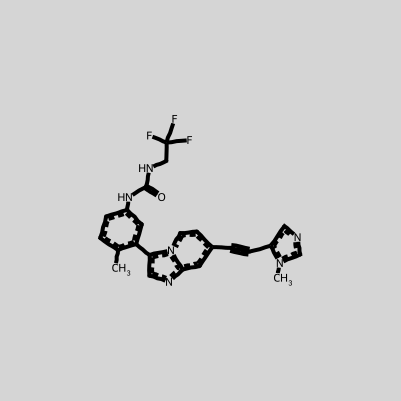 Cc1ccc(NC(=O)NCC(F)(F)F)cc1-c1cnc2cc(C#Cc3cncn3C)ccn12